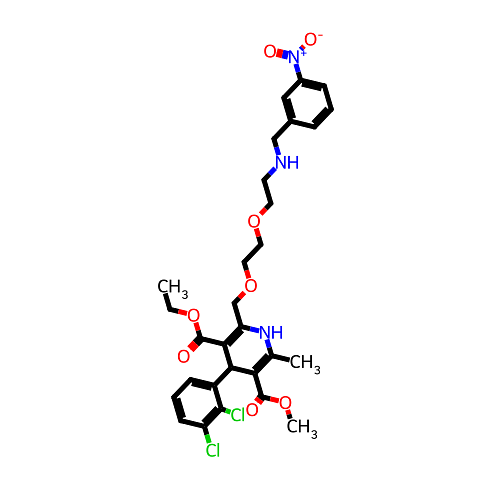 CCOC(=O)C1=C(COCCOCCNCc2cccc([N+](=O)[O-])c2)NC(C)=C(C(=O)OC)C1c1cccc(Cl)c1Cl